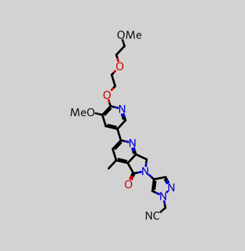 COCCOCCOc1ncc(-c2cc(C)c3c(n2)CN(c2cnn(CC#N)c2)C3=O)cc1OC